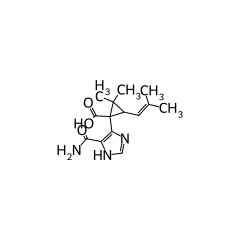 CC(C)=CC1C(C)(C)C1(C(=O)O)c1nc[nH]c1C(N)=O